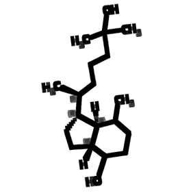 CC1CCC(O)[C@@H]2CC[C@H]([C@@H](C)CCCC(C)(C)O)[C@@H]12